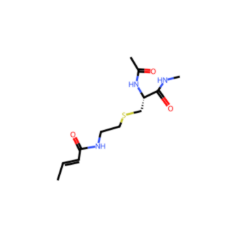 C/C=C/C(=O)NCCSC[C@H](NC(C)=O)C(=O)NC